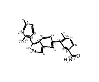 Cc1ccc(-c2nncc3cc(-c4cc(C(N)=O)ccc4C)ccc23)c(Cl)n1